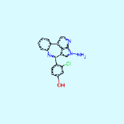 Nn1cc2c3c(ccnc31)-c1ccccc1N=C2c1ccc(O)cc1Cl